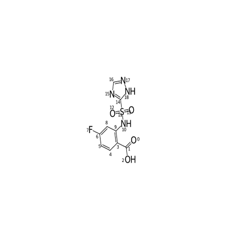 O=C(O)c1ccc(F)cc1NS(=O)(=O)c1ncn[nH]1